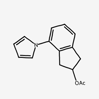 CC(=O)OC1Cc2cccc(-n3cccc3)c2C1